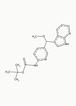 COC(c1ccc(NC(=O)OC(C)(C)C)nc1)c1c[nH]c2ncccc12